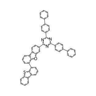 c1ccc(-c2ccc(-c3nc(-c4ccc(-c5ccccc5)cc4)nc(-c4ccc5c(c4)oc4c(-c6cccc7c6sc6ccccc67)cccc45)n3)cc2)cc1